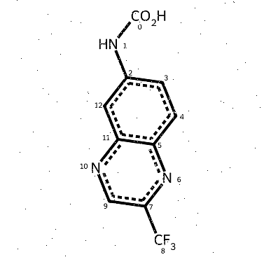 O=C(O)Nc1ccc2nc(C(F)(F)F)cnc2c1